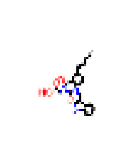 CCC/C=C/c1ccc2c(c1)c(=O)n(CC(=O)O)c(=O)n2Cc1cn(C)c2ccccc12